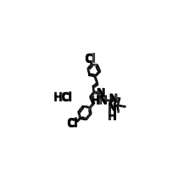 CC1(C)CN=C(NN=C(/C=C/c2ccc(Cl)cc2)/C=C/c2ccc(Cl)cc2)N1.Cl